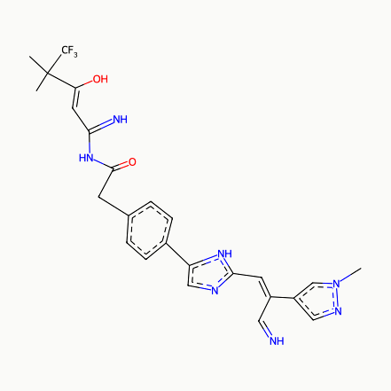 Cn1cc(/C(C=N)=C/c2ncc(-c3ccc(CC(=O)NC(=N)/C=C(\O)C(C)(C)C(F)(F)F)cc3)[nH]2)cn1